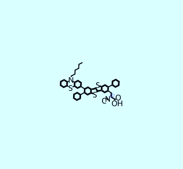 [C-]#[N+]/C(=C\c1cc2c(cc1-c1ccccc1)sc1c3cc(-c4ccc5c(c4)Sc4ccccc4N5CCCCCC)c(-c4ccccc4)cc3sc21)C(=O)O